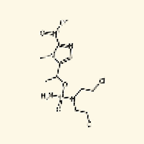 CC(OP(N)(=O)N(CCCl)CCCl)c1cnc([N+](=O)[O-])n1C